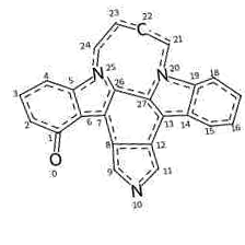 O=c1cccc2c1c1c3cncc3c3c4ccccc4n4ccccn2c1c34